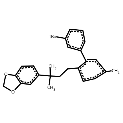 Cc1ccc(CCC(C)(C)c2ccc3c(c2)OCO3)c(-c2cccc(C(C)(C)C)c2)c1